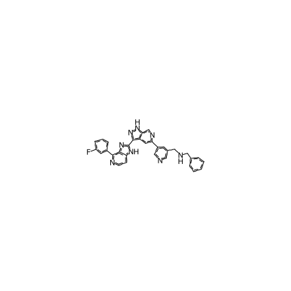 Fc1cccc(-c2nccc3[nH]c(-c4n[nH]c5cnc(-c6cncc(CNCc7ccccc7)c6)cc45)nc23)c1